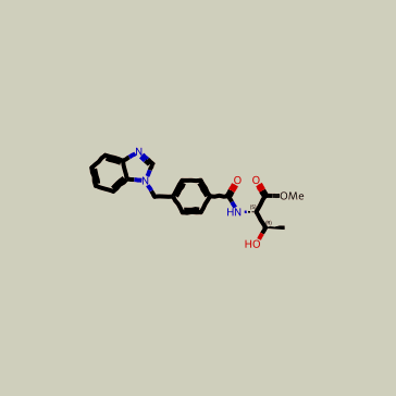 COC(=O)[C@@H](NC(=O)c1ccc(Cn2cnc3ccccc32)cc1)[C@@H](C)O